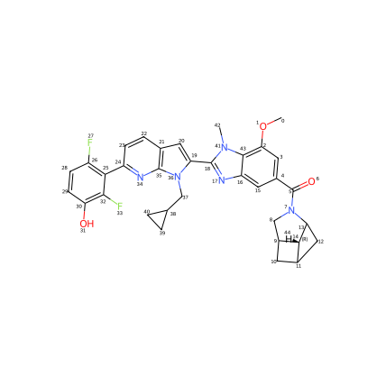 COc1cc(C(=O)N2CC3CC4CC2[C@H]43)cc2nc(-c3cc4ccc(-c5c(F)ccc(O)c5F)nc4n3CC3CC3)n(C)c12